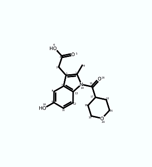 Cc1c(CC(=O)O)c2cc(O)ccc2n1C(=O)C1CCOCC1